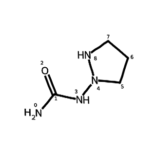 NC(=O)NN1CCCN1